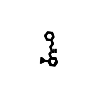 c1ccc(C2CC2)c(CNCCC2CCCCC2)c1